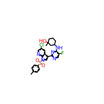 Cc1ccc(S(=O)(=O)n2cc(-c3ncc(F)c(NC4CCCC(C)(O)C4)n3)c3cc(Cl)cnc32)cc1